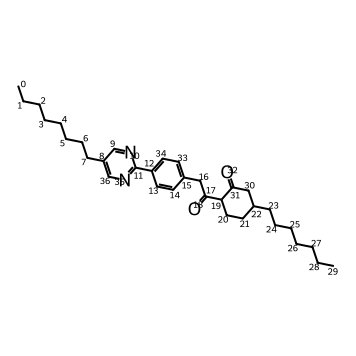 CCCCCCCCc1cnc(-c2ccc(CC(=O)C3CCC(CCCCCCC)CC3=O)cc2)nc1